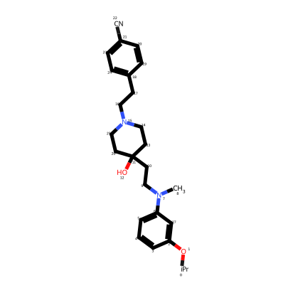 CC(C)Oc1cccc(N(C)CCC2(O)CCN(CCc3ccc(C#N)cc3)CC2)c1